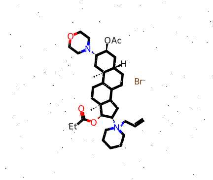 C=CC[N+]1([C@H]2CC3C4CC[C@H]5C[C@H](OC(C)=O)[C@@H](N6CCOCC6)C[C@]5(C)C4CC[C@]3(C)[C@H]2OC(=O)CC)CCCCC1.[Br-]